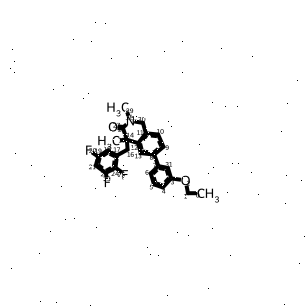 CCOc1cccc(-c2ccc3c(c2)C(C)(Cc2cc(F)cc(F)c2F)C(=O)N(C)C3)c1